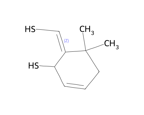 CC1(C)CC=CC(S)/C1=C\S